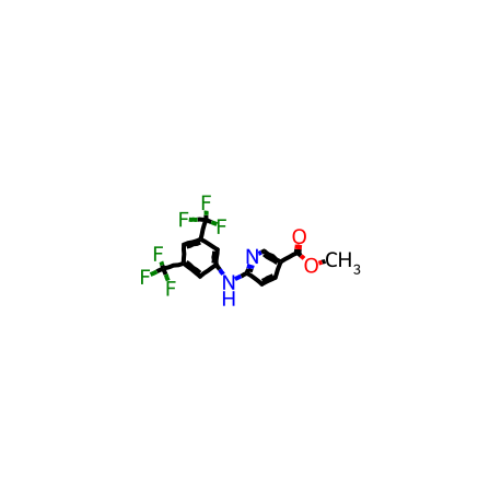 COC(=O)c1ccc(Nc2cc(C(F)(F)F)cc(C(F)(F)F)c2)nc1